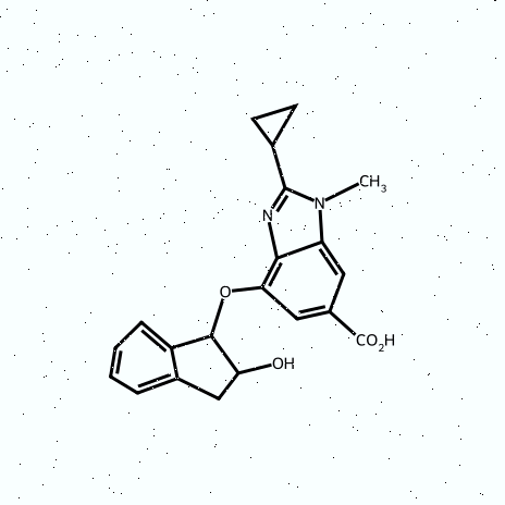 Cn1c(C2CC2)nc2c(OC3c4ccccc4CC3O)cc(C(=O)O)cc21